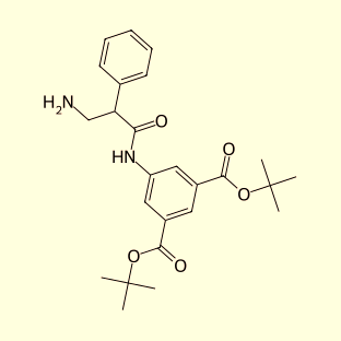 CC(C)(C)OC(=O)c1cc(NC(=O)C(CN)c2ccccc2)cc(C(=O)OC(C)(C)C)c1